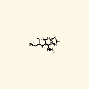 CC(C)CCCc1c(C(F)(F)F)nc2ncnn2c1N